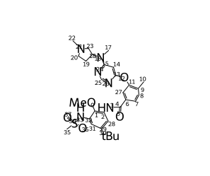 COc1c(NC(=O)c2ccc(C)c(Oc3cc(N(C)C4CCN(C)C4)ncn3)c2)cc(C(C)(C)C)cc1NS(C)(=O)=O